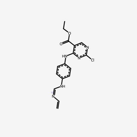 C=C/N=C\Nc1ccc(Nc2nc(Cl)ncc2C(=O)OCC)cc1